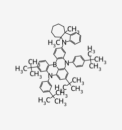 CC(C)(C)c1ccc(N2c3cc(N4c5ccccc5C5(C)CCCCCC45C)ccc3B3c4ccc(C(C)(C)C)cc4N(c4cccc(C(C)(C)C)c4)c4cc(C(C)(C)C)cc2c43)cc1